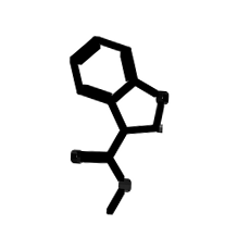 COC(=O)C1[C]Oc2ccccc21